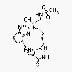 Cc1nc2cccc3c2nc1N(CCNS(C)(=O)=O)C/C=C/C[C@H]1CNC(=O)c2cc-3[nH]c21